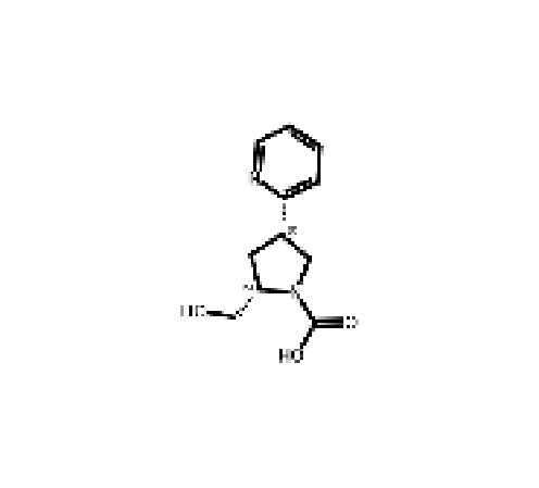 O=C(O)N1C[C@@H](c2ccccn2)C[C@H]1CO